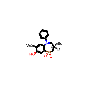 CCCC[C@]1(CC)CN(c2ccccc2)c2cc(SC)c(O)cc2S(=O)(=O)C1